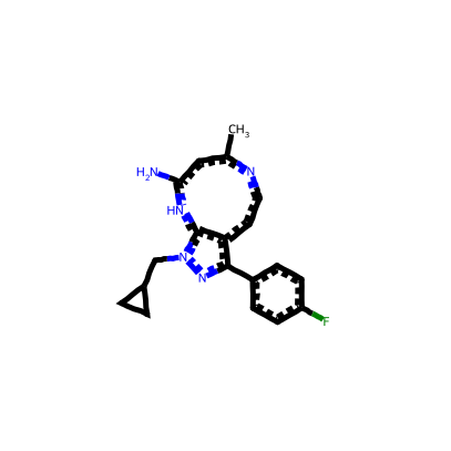 Cc1cc(N)[nH]c2c(ccn1)c(-c1ccc(F)cc1)nn2CC1CC1